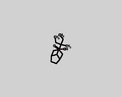 CCC(C)(CC)N1CC2CCC(C1)C2C(=O)O